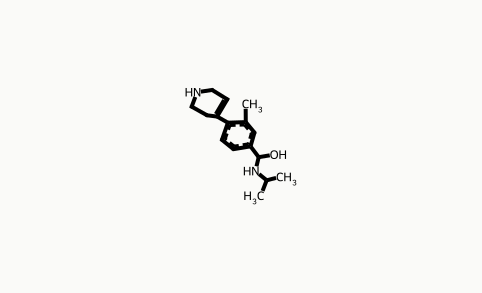 Cc1cc(C(O)NC(C)C)ccc1C1=CCNCC1